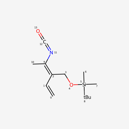 C=C/C(CO[Si](C)(C)C(C)(C)C)=C(\C)N=C=O